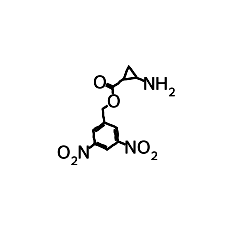 NC1CC1C(=O)OCc1cc([N+](=O)[O-])cc([N+](=O)[O-])c1